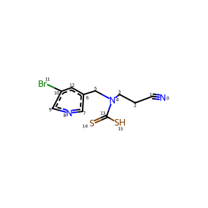 N#CCCN(Cc1cncc(Br)c1)C(=S)S